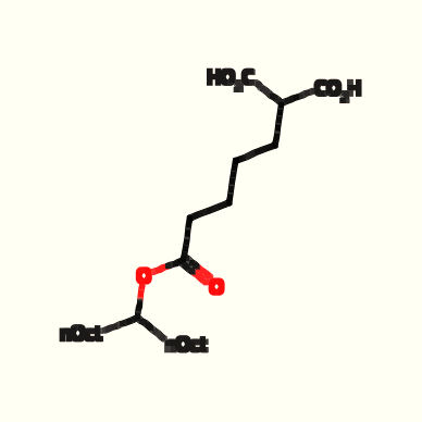 CCCCCCCCC(CCCCCCCC)OC(=O)CCCCC(C(=O)O)C(=O)O